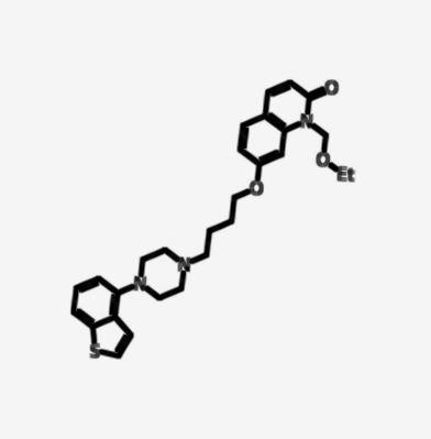 CCOCn1c(=O)ccc2ccc(OCCCCN3CCN(c4cccc5sccc45)CC3)cc21